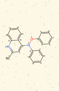 N#Cc1cc(N(Oc2ccccc2)c2ccccc2)c2ccccc2n1